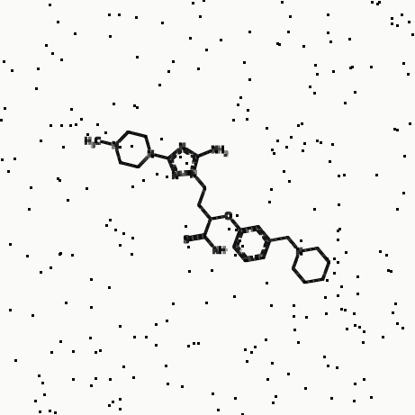 CN1CCN(c2nc(N)n(CCC(Oc3cccc(CN4CCCCC4)c3)C([NH])=S)n2)CC1